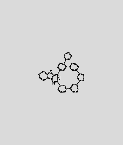 c1ccc(-c2ccc(-c3nc(-c4cccc(-c5cccc(-c6cccc(-c7ccccc7)c6)c5)c4)nc4c3sc3ccccc34)cc2)cc1